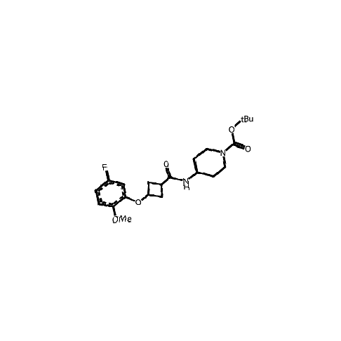 COc1ccc(F)cc1OC1CC(C(=O)NC2CCN(C(=O)OC(C)(C)C)CC2)C1